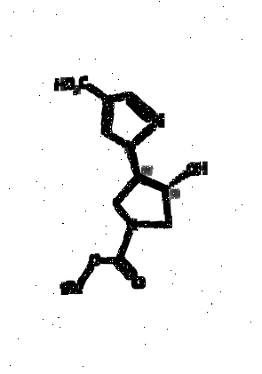 CC(C)(C)OC(=O)N1C[C@@H](O)[C@H](n2cc(C(=O)O)cn2)C1